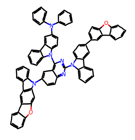 c1ccc(N(c2ccccc2)c2ccc3c(c2)c2ccccc2n3-c2nc(-n3c4ccccc4c4cc(-c5ccc6oc7ccccc7c6c5)ccc43)nc3ccc(-n4c5ccccc5c5cc6c(cc54)oc4ccccc46)cc23)cc1